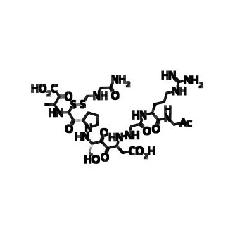 CC(=O)CNC(=O)[C@H](CCCNC(=N)N)NC(=O)CNN[C@@H](CC(=O)O)C(=O)C(=O)[C@H](CO)NN1CCC[C@H]1C(=O)C(N[C@@H](C)C(=O)C(=O)O)SSCNCC(N)=O